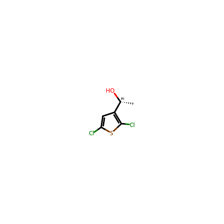 C[C@@H](O)c1cc(Cl)sc1Cl